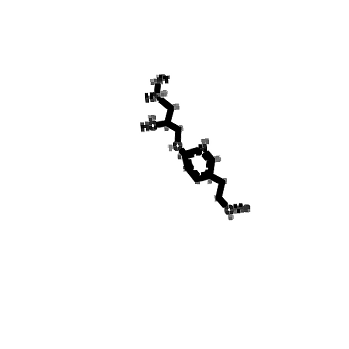 COCCc1ccc(OCC(O)CNC(C)C)nc1